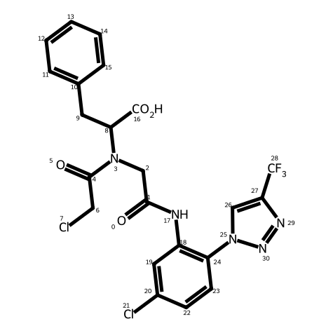 O=C(CN(C(=O)CCl)C(Cc1ccccc1)C(=O)O)Nc1cc(Cl)ccc1-n1cc(C(F)(F)F)nn1